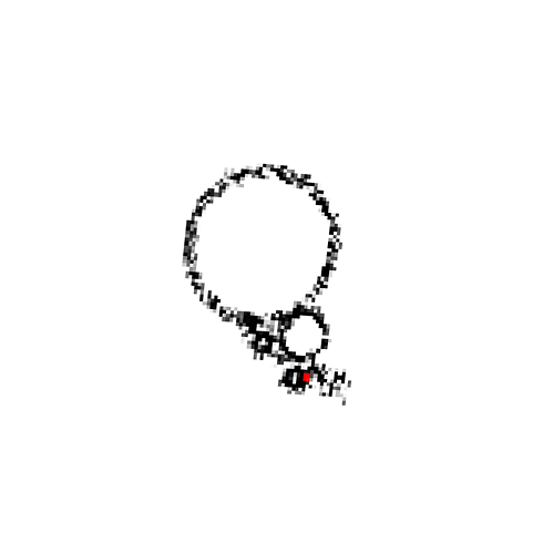 CC(C)(C)OC(=O)N1CCCCCCCC2(CCCCCCCCCCCCCCCCCCCCCCCCCCCCCCCCCCCCCCCCCCCCCCCCCCC2)OC[C@@H](c2cc(C(F)(F)F)cnc2O)CC[C@H]1c1ccccc1